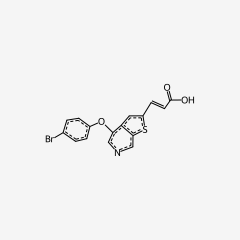 O=C(O)C=Cc1cc2c(Oc3ccc(Br)cc3)cncc2s1